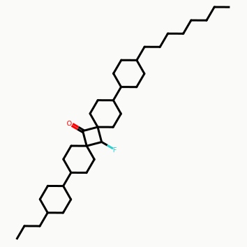 CCCCCCCCC1CCC(C2CCC3(CC2)C(=O)C2(CCC(C4CCC(CCC)CC4)CC2)C3F)CC1